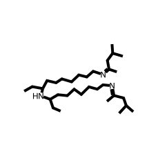 CCC(CCCCCCCN=C(C)CC(C)C)NC(CC)CCCCCCCN=C(C)CC(C)C